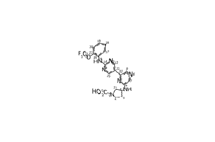 O=C(O)N1CC[C@H](Nc2cncc(-c3cnc(Nc4ccccc4OC(F)(F)F)nc3)n2)C1